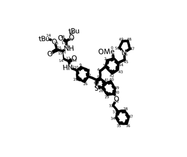 COc1cc(Cc2c(-c3ccc(NC(=O)C[C@H](NC(=O)OC(C)(C)C)C(=O)OC(C)(C)C)cc3)sc3cc(OCc4ccccc4)ccc23)ccc1CN1CCCC1